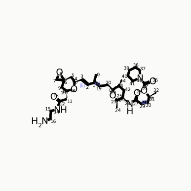 CC(/C=C/[C@@H]1C[C@]2(CO2)C[C@@H](CC(=O)NCCN)O1)=C\C[C@@H]1O[C@H](C)[C@H](NC(=O)/C=C\[C@H](C)OC(=O)N2CCCCC2)C[C@@H]1C